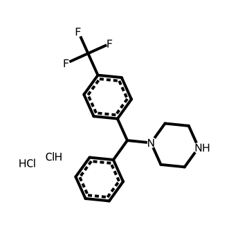 Cl.Cl.FC(F)(F)c1ccc(C(c2ccccc2)N2CCNCC2)cc1